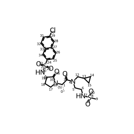 C[C@@H](C(=O)N(CCNS(C)(=O)=O)CC1CC1)N1CC[C@H](NS(=O)(=O)c2ccc3cc(Cl)ccc3c2)C1=O